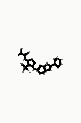 CC(C)C(=O)OC1CCC(Oc2ccc3cc(-c4cccnc4)sc3c2)C1C(F)(F)F